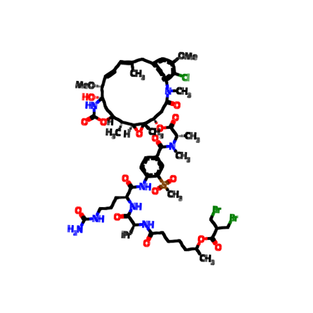 COc1cc2cc(c1Cl)N(C)C(=O)C[C@H](OC(=O)[C@H](C)N(C)C(=O)c1ccc(NC(=O)[C@H](CCCNC(N)=O)NC(=O)[C@@H](NC(=O)CCCCC(C)OC(=O)C(CBr)CBr)C(C)C)c(S(C)(=O)=O)c1)[C@]1(C)O[C@H]1[C@H](C)[C@@H]1C[C@@](O)(NC(=O)O1)[C@H](OC)/C=C/C=C(\C)C2